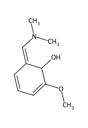 COC1=CC=CC(=CN(C)C)C1O